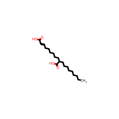 CCCCCCCCCC(CCCCCCC=CC(=O)O)C(=O)O